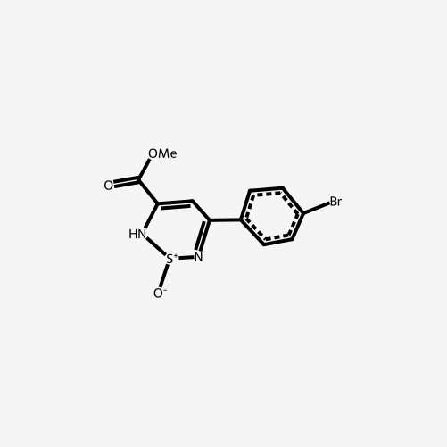 COC(=O)C1=CC(c2ccc(Br)cc2)=N[S+]([O-])N1